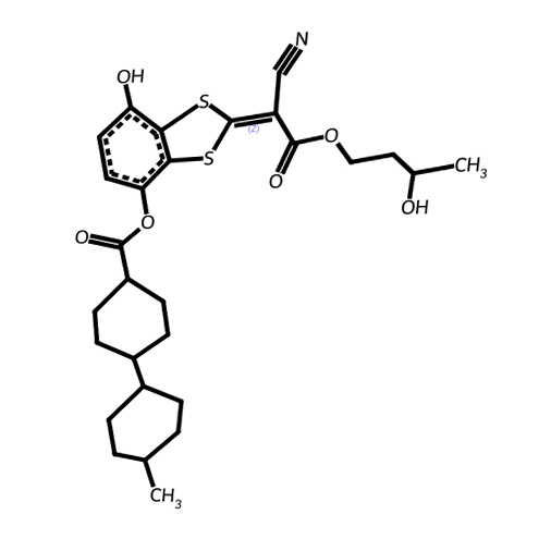 CC(O)CCOC(=O)/C(C#N)=C1/Sc2c(O)ccc(OC(=O)C3CCC(C4CCC(C)CC4)CC3)c2S1